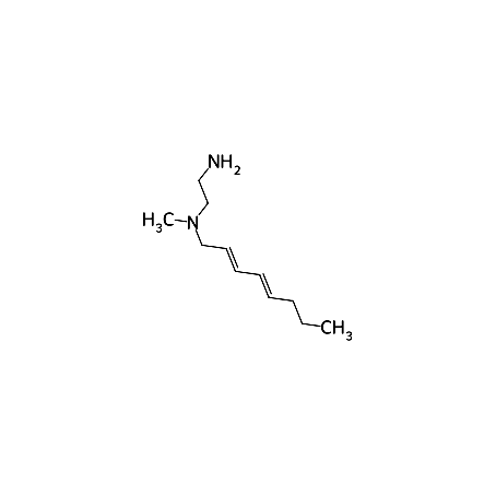 CCCC=CC=CCN(C)CCN